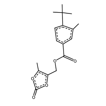 Cc1cc(C(=O)OCc2oc(=O)oc2C)ccc1C(C)(C)C